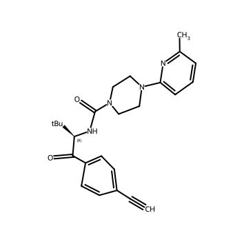 C#Cc1ccc(C(=O)[C@H](NC(=O)N2CCN(c3cccc(C)n3)CC2)C(C)(C)C)cc1